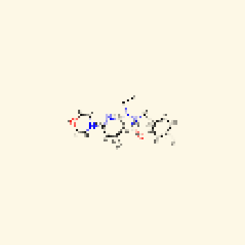 CCn1c2nc(N3CCOCC3)cc(C)c2c(=O)n1Cc1ccc(C)cc1